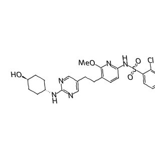 COc1nc(NS(=O)(=O)c2ccccc2Cl)ccc1CCc1cnc(N[C@H]2CC[C@H](O)CC2)nc1